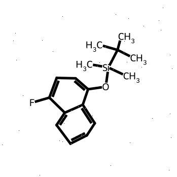 CC(C)(C)[Si](C)(C)Oc1ccc(F)c2ccccc12